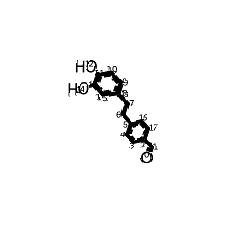 O=[C]c1ccc(CCc2ccc(O)c(O)c2)cc1